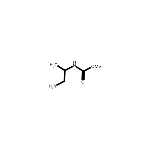 COC(=O)NC(C)CN